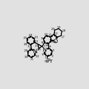 CC(C)c1ccc2[n+](c1)C1(c3ccc4c5c(oc4c3-2)CCCC5)C2c3ccccc3-c3cccc[n+]3C21